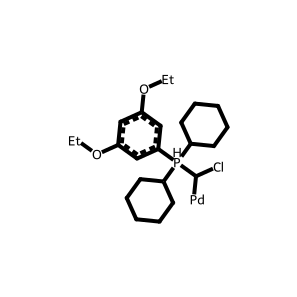 CCOc1cc(OCC)cc([PH]([CH](Cl)[Pd])(C2CCCCC2)C2CCCCC2)c1